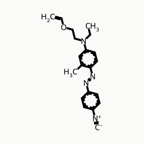 [C-]#[N+]c1ccc(/N=N/c2ccc(N(CC)CCOC=C)cc2C)cc1